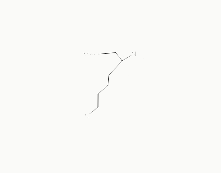 COC[C@](N)(C=O)CCCCN